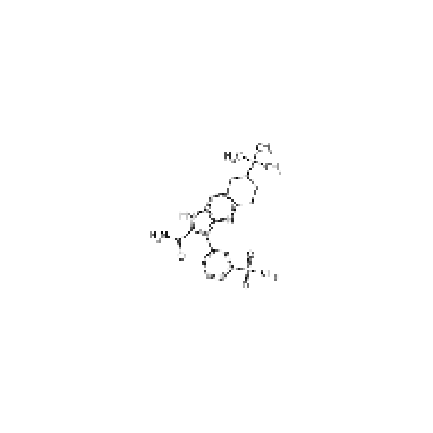 CC(C)(C)C1CCc2nc3c(-c4cccc(S(C)(=O)=O)c4)c(C(N)=O)[nH]c3cc2C1